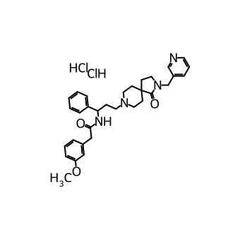 COc1cccc(CC(=O)NC(CCN2CCC3(CC2)CCN(Cc2cccnc2)C3=O)c2ccccc2)c1.Cl.Cl